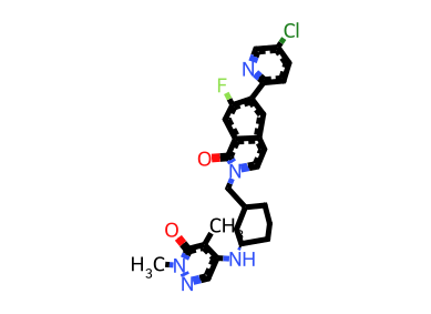 Cc1c(N[C@H]2CCCC(Cn3ccc4cc(-c5ccc(Cl)cn5)c(F)cc4c3=O)C2)cnn(C)c1=O